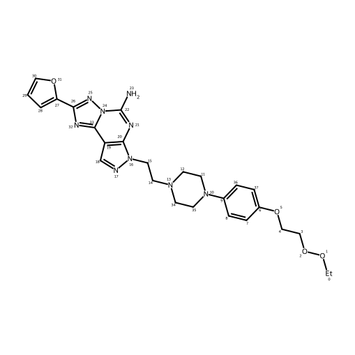 CCOOCCOc1ccc(N2CCN(CCn3ncc4c3nc(N)n3nc(-c5ccco5)nc43)CC2)cc1